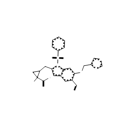 C=Cc1cc2cc(CC3CC3(C)C(N)=O)n(S(=O)(=O)c3ccccc3)c2cc1OCc1cscn1